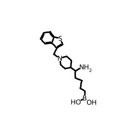 NC(CCCCB(O)O)C1CCN(Cc2csc3ccccc23)CC1